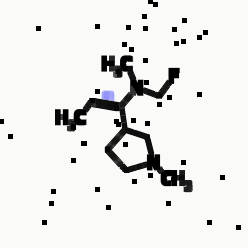 C/C=C(\C1CCN(C)C1)N(C)CF